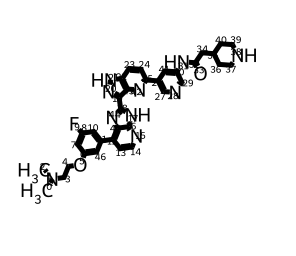 CN(C)CCOc1cc(F)cc(-c2ccnc3[nH]c(-c4n[nH]c5ccc(-c6cncc(NC(=O)CC7CCNCC7)c6)nc45)nc23)c1